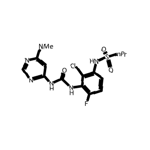 CCCS(=O)(=O)Nc1ccc(F)c(NC(=O)Nc2cc(NC)ncn2)c1Cl